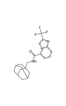 O=C(NCC12CC3CC(CC(C3)C1)C2)c1cccc2nc(C(F)(F)F)cn12